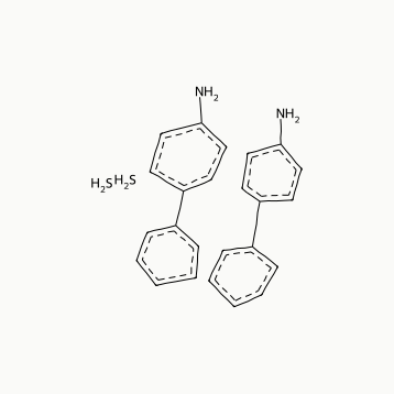 Nc1ccc(-c2ccccc2)cc1.Nc1ccc(-c2ccccc2)cc1.S.S